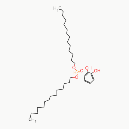 CCCCCCCCCCCCCCO[PH](=O)OCCCCCCCCCCCCCC.Oc1ccccc1O